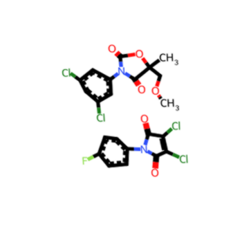 COCC1(C)OC(=O)N(c2cc(Cl)cc(Cl)c2)C1=O.O=C1C(Cl)=C(Cl)C(=O)N1c1ccc(F)cc1